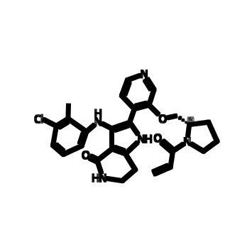 C=CC(=O)N1CCC[C@H]1COc1cnccc1-c1[nH]c2c(c1Nc1cccc(Cl)c1C)C(=O)NCC2